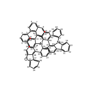 c1ccc(-c2cccc3cccc(-c4ccccc4N(c4ccccc4-c4cccc5oc6ccccc6c45)c4ccccc4-c4cccc5c6ccccc6n(-c6ccccc6)c45)c23)cc1